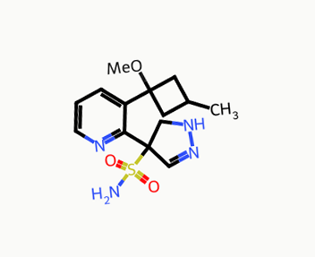 COC1(c2cccnc2C2(S(N)(=O)=O)C=NNC2)CC(C)C1